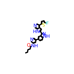 CCCCC(=O)Nc1cncc(-c2ccc3[nH]nc(-c4cc5c(-c6ccc(F)s6)cncc5[nH]4)c3c2)c1